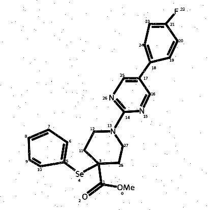 COC(=O)C1([Se]c2ccccc2)CCN(c2ncc(-c3ccc(F)cc3)cn2)CC1